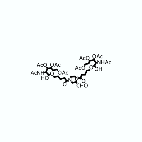 CC(=O)NC(C(O)OCCCCC(=O)N1CCN(C(=O)CCCCOC(O)C(NC(C)=O)C(OC(C)=O)C(CCOC(C)=O)OC(C)=O)C(C=O)C1)C(OC(C)=O)C(CCOC(C)=O)OC(C)=O